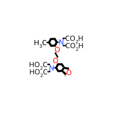 Cc1ccc(N(CC(=O)O)CC(=O)O)c(OCCOc2cc3co[c]c3cc2N(CC(=O)O)CC(=O)O)c1